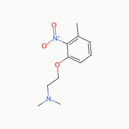 Cc1cccc(OCCN(C)C)c1[N+](=O)[O-]